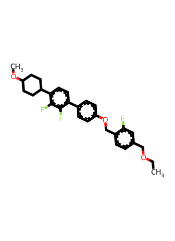 CCOCc1ccc(COc2ccc(-c3ccc(C4CCC(OC)CC4)c(F)c3F)cc2)c(F)c1